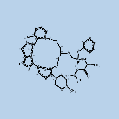 CC(C)OC(=O)[C@H](C)NP(=O)(COC1COCc2cccc(F)c2-c2cc3c(n[nH]c3cn2)-c2ccc(N3CCN(C)CC3)c(c2)OC1)Oc1ccccc1